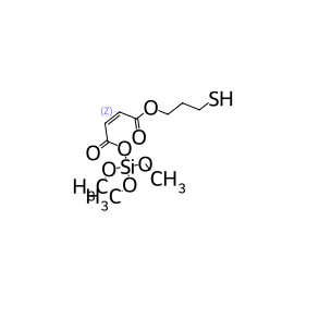 CO[Si](OC)(OC)OC(=O)/C=C\C(=O)OCCCS